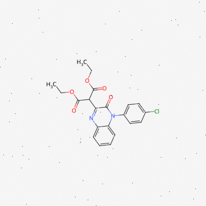 CCOC(=O)C(C(=O)OCC)c1nc2ccccc2n(-c2ccc(Cl)cc2)c1=O